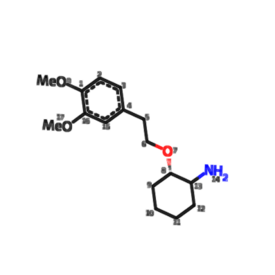 COc1ccc(CCO[C@H]2CCCCC2N)cc1OC